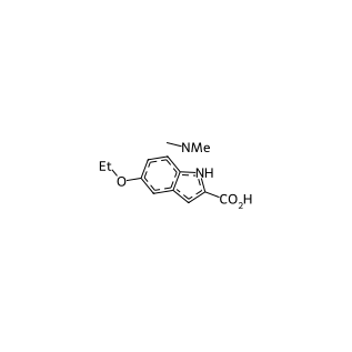 CCOc1ccc2[nH]c(C(=O)O)cc2c1.CNC